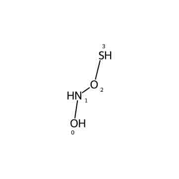 ONOS